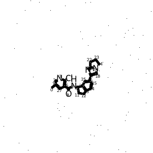 Cc1cnc(Cl)c(C(=O)NC2CCc3ccc(-c4cn5c(n4)CCC5)cc32)c1